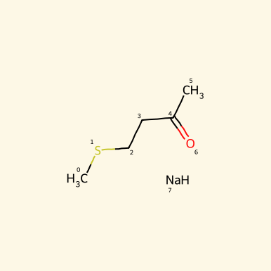 CSCCC(C)=O.[NaH]